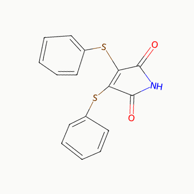 O=C1NC(=O)C(Sc2ccccc2)=C1Sc1ccccc1